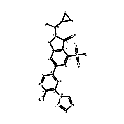 C[C@@H](C1CC1)N1Cc2cc(-c3cnc(N)c(-n4cncn4)n3)cc(S(C)(=O)=O)c2C1=O